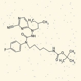 CC(C)CN(NC(=O)N(CCCCCNC(=O)OC(C)(C)C)c1ccc(F)cc1)c1ccnc(C#N)n1